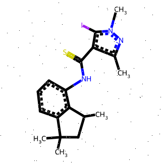 Cc1nn(C)c(I)c1C(=S)Nc1cccc2c1C(C)CC2(C)C